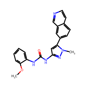 COc1ccccc1NC(=O)Nc1cc(-c2ccc3ccncc3c2)n(C)n1